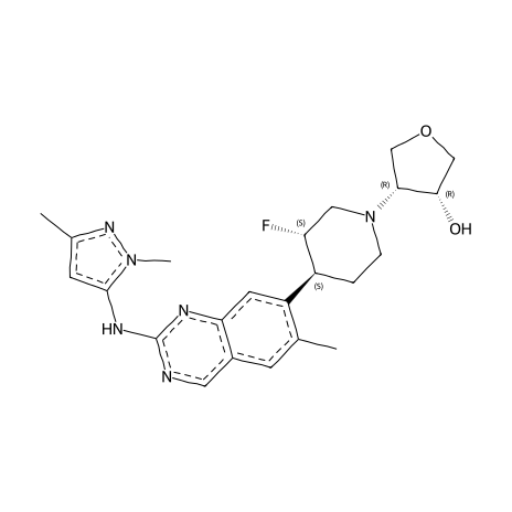 Cc1cc(Nc2ncc3cc(C)c([C@@H]4CCN([C@@H]5COC[C@@H]5O)C[C@H]4F)cc3n2)n(C)n1